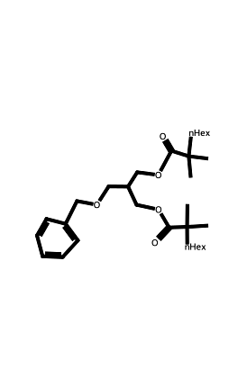 CCCCCCC(C)(C)C(=O)OCC(COCc1ccccc1)COC(=O)C(C)(C)CCCCCC